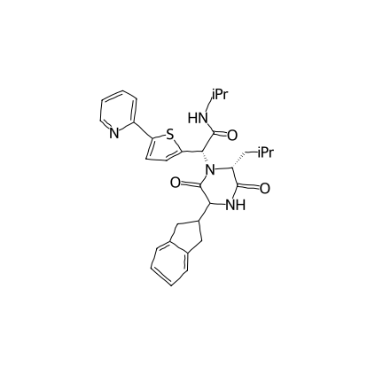 CC(C)C[C@@H]1C(=O)NC(C2Cc3ccccc3C2)C(=O)N1[C@@H](C(=O)NC(C)C)c1ccc(-c2ccccn2)s1